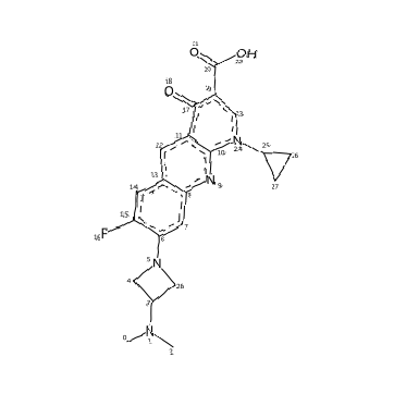 CN(C)C1CN(c2cc3nc4c(cc3cc2F)c(=O)c(C(=O)O)cn4C2CC2)C1